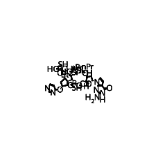 CCC[SiH]1O[C@H]2C[C@H](n3ccc4c(=O)[nH]c(N)nc43)O[C@@H]2COP(=O)(S)C([C@H]2C[C@H](Oc3ccncn3)C[C@@H]2COP(=O)(O)S)C(CC)[Si](O)(CCC)O1